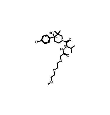 COCCOCCOCC(=O)N[C@@H](C(=O)N1CC[C@](O)(c2ccc(Cl)cc2)C(C)(C)C1)C(C)C